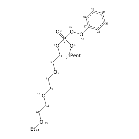 CCCCCOP(=O)(OCCOCCOCCOCC)OOc1ccccc1